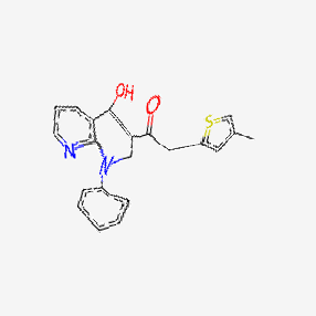 Cc1csc(CC(=O)C2=C(O)c3cccnc3N(c3ccccc3)C2)c1